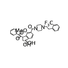 COc1c(C(=O)N2CCN(CCc3ccccc3C(F)(F)F)CC2)ccc2c1C(S(=O)(=O)c1ccccc1)CS2(O)O